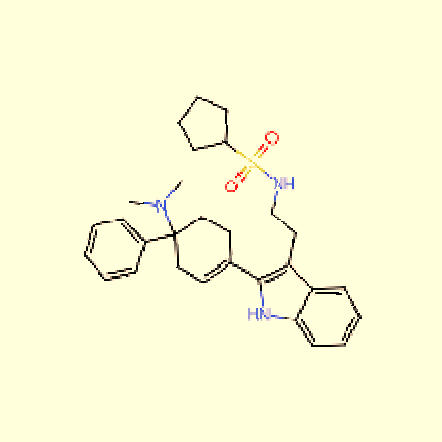 CN(C)C1(c2ccccc2)CC=C(c2[nH]c3ccccc3c2CCNS(=O)(=O)C2CCCC2)CC1